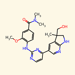 COc1cc(C(=O)N(C)C)ccc1Nc1nccc(-c2cnc3c(c2)C(C)(CO)CN3)n1